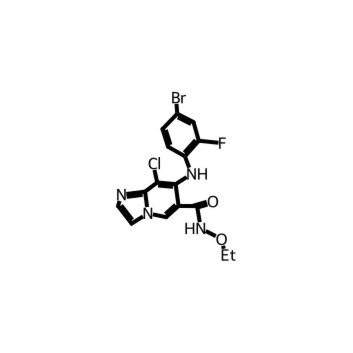 CCONC(=O)c1cn2ccnc2c(Cl)c1Nc1ccc(Br)cc1F